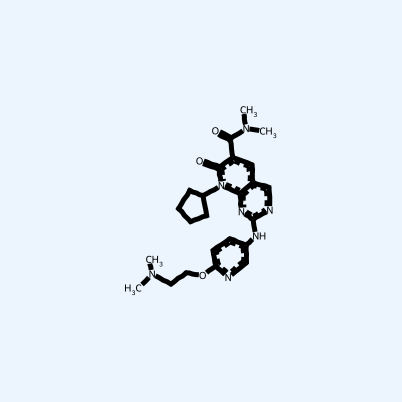 CN(C)CCOc1ccc(Nc2ncc3cc(C(=O)N(C)C)c(=O)n(C4CCCC4)c3n2)cn1